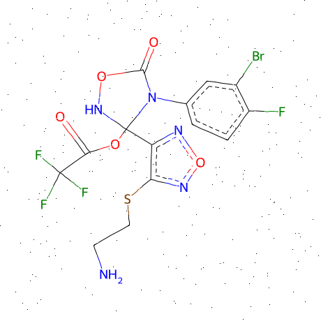 NCCSc1nonc1C1(OC(=O)C(F)(F)F)NOC(=O)N1c1ccc(F)c(Br)c1